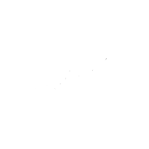 CCO[C@H]1C[C@@H](OCC(=O)NC23CC(NC(=O)OC(C)(C)C)(C2)C3)C1